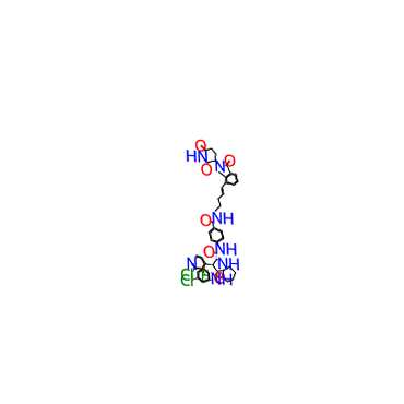 O=C1CCC(N2Cc3c(/C=C/CCCNC(=O)c4ccc(NC(=O)[C@@H]5NC6(CCCCC6)[C@@]6(C(=O)Nc7cc(Cl)ccc76)[C@H]5c5ccnc(Cl)c5F)cc4)cccc3C2=O)C(=O)N1